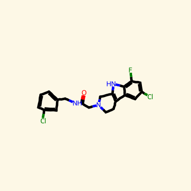 O=C(CN1CCc2c([nH]c3c(F)cc(Cl)cc23)C1)NCc1cccc(Cl)c1